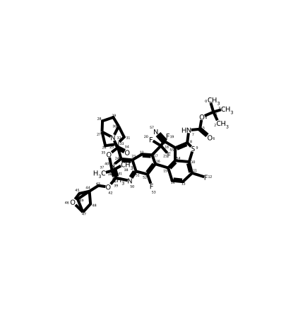 CC(C)(C)OC(=O)Nc1sc2c(F)ccc(-c3c(C(F)(F)F)cc4c(N5CC6CCC(C5)N6C(=O)OC(C)(C)C)nc(OCC56COC(C5)C6)nc4c3F)c2c1C#N